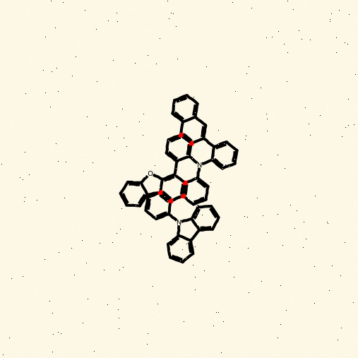 c1cc(-c2ccccc2-n2c3ccccc3c3ccccc32)cc(N(c2ccccc2-c2ccc3ccccc3c2)c2ccccc2-c2cccc3c2oc2ccccc23)c1